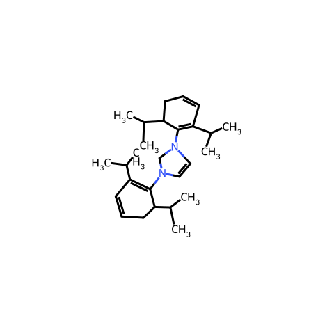 CC(C)C1=C(N2C=CN(C3=C(C(C)C)C=CCC3C(C)C)C2)C(C(C)C)CC=C1